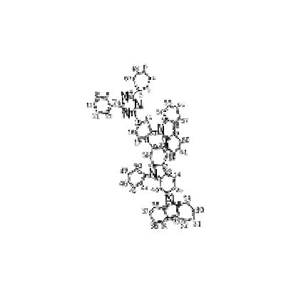 c1ccc(-c2nc(-c3ccccc3)nc(-c3ccc(-c4ccc5c6ccc(-n7c8ccccc8c8ccccc87)cc6n(-c6ccccc6)c5c4)c(-n4c5ccccc5c5ccccc54)c3)n2)cc1